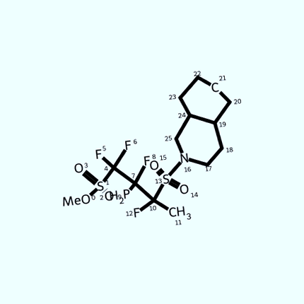 COS(=O)(=O)C(F)(F)C(F)(P)C(C)(F)S(=O)(=O)N1CCC2CCCCC2C1